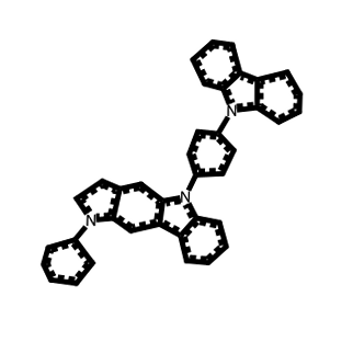 c1ccc(-n2ccc3cc4c(cc32)c2ccccc2n4-c2ccc(-n3c4ccccc4c4ccccc43)cc2)cc1